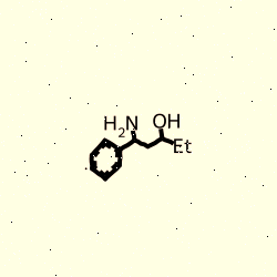 CCC(O)CC(N)c1cc[c]cc1